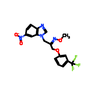 CON=C(COc1cccc(C(F)(F)F)c1)Cn1cnc2ccc([N+](=O)[O-])cc21